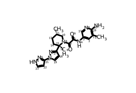 Cc1cc(NC(=O)C(=O)N2C[C@@H](C)CC[C@@]2(C)c2ccn(-c3cc[nH]n3)n2)cnc1N